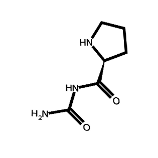 NC(=O)NC(=O)[C@@H]1CCCN1